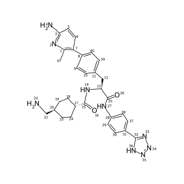 Cc1nc(N)ccc1-c1ccc(C[C@H](NC(=O)[C@H]2CC[C@H](CN)CC2)C(=O)Nc2ccc(-c3nnn[nH]3)cc2)cc1